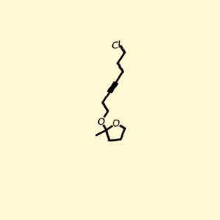 CC1(OCCC#CCCCCl)CCCO1